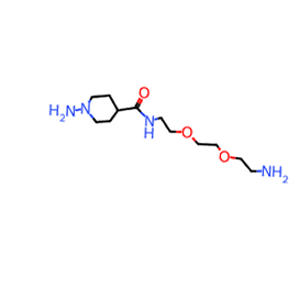 NCCOCCOCCNC(=O)C1CCN(N)CC1